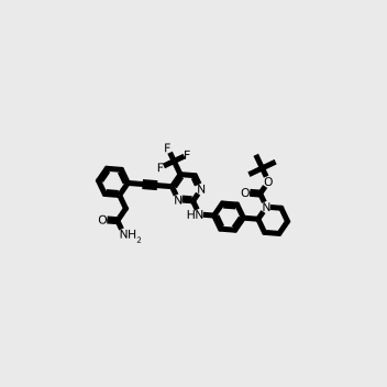 CC(C)(C)OC(=O)N1CCCCC1c1ccc(Nc2ncc(C(F)(F)F)c(C#Cc3ccccc3CC(N)=O)n2)cc1